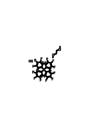 COCCOC.Fc1c(F)c(F)c([B-](c2c(F)c(F)c(F)c(F)c2F)(c2c(F)c(F)c(F)c(F)c2F)c2c(F)c(F)c(F)c(F)c2F)c(F)c1F.[KH]